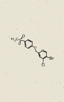 CS(=O)(=O)c1ccc(OCc2cc(Cl)c(Br)cn2)cc1